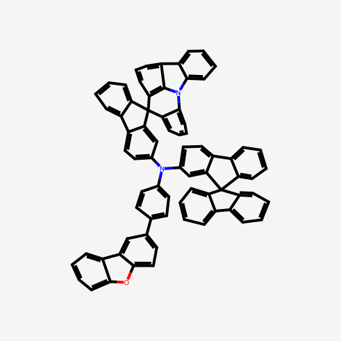 c1ccc2c(c1)-c1ccccc1C21c2ccccc2-c2ccc(N(c3ccc(-c4ccc5oc6ccccc6c5c4)cc3)c3ccc4c(c3)C3(c5ccccc5-4)c4ccccc4-n4c5ccccc5c5cccc3c54)cc21